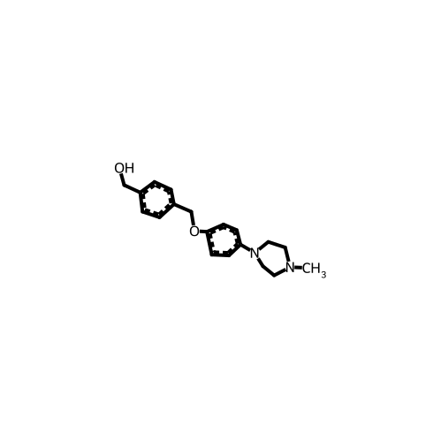 CN1CCN(c2ccc(OCc3ccc(CO)cc3)cc2)CC1